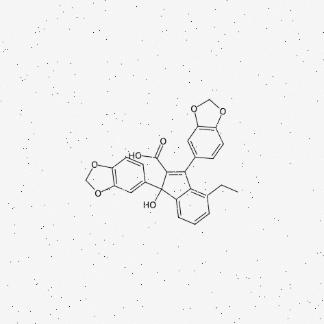 CCc1cccc2c1C(c1ccc3c(c1)OCO3)=C(C(=O)O)C2(O)c1ccc2c(c1)OCO2